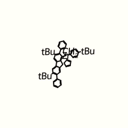 [CH2]=[Zr]([C]1=CC=CC1)([c]1ccc(C(C)(C)C)cc1)[c]1c2c(cc(C(C)(C)C)c1-c1ccccc1)-c1cc(C(C)(C)C)c(-c3ccccc3)cc1C2